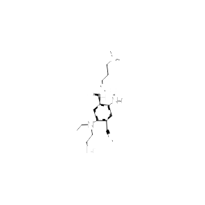 [CH2]CN(CCBr)c1cc(C(=O)NCCCN(C)C)c([N+](=O)[O-])cc1C#N